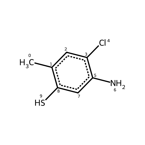 Cc1cc(Cl)c(N)cc1S